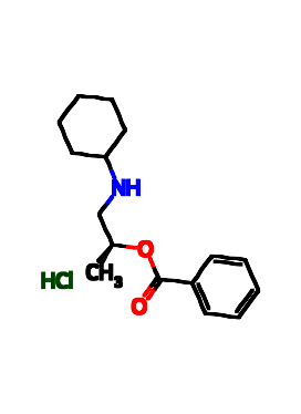 C[C@@H](CNC1CCCCC1)OC(=O)c1ccccc1.Cl